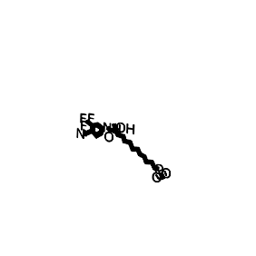 CC(O)(CCCCCCCCCCCOS(C)(=O)=O)C(=O)Nc1ccc(C#N)c(C(F)(F)F)c1